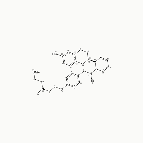 CCN(Cc1ccc(OCCN(C)CCOC)cc1)C1C=CC=CC1[C@@H]1CCc2cc(O)ccc2C1